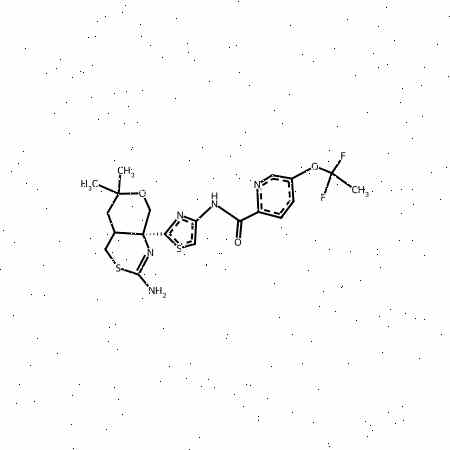 CC(F)(F)Oc1ccc(C(=O)Nc2csc([C@@]34COC(C)(C)CC3CSC(N)=N4)n2)nc1